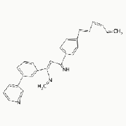 C=C/C=C\C=C\c1ccc(C(=N)/C=C(\N=C)c2cccc(-c3cccnc3)c2)cc1